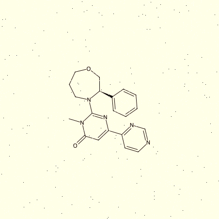 Cn1c(N2CCCOC[C@H]2c2ccccc2)nc(-c2ccncn2)cc1=O